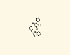 O=C1NC(c2ccccc2)C(=O)N1[C@H]1CCCN(C[C@H]2COc3ccccc3O2)C1